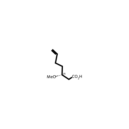 C=CCC[C@H](CC(=O)O)OC